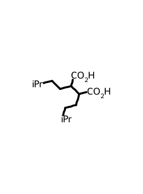 CC(C)CCC(C(=O)O)C(CCC(C)C)C(=O)O